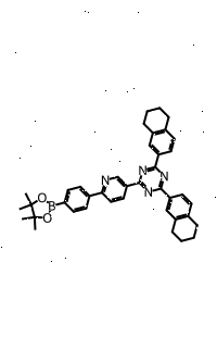 CC1(C)OB(c2ccc(-c3ccc(-c4nc(-c5ccc6c(c5)CCCC6)nc(-c5ccc6c(c5)CCCC6)n4)cn3)cc2)OC1(C)C